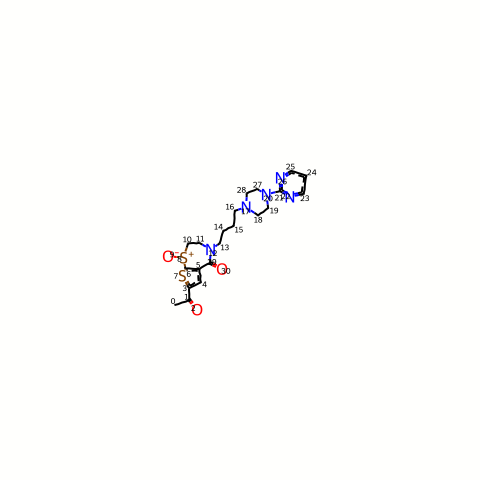 CC(=O)c1cc2c(s1)[S+]([O-])CCN(CCCCN1CCN(c3ncccn3)CC1)C2=O